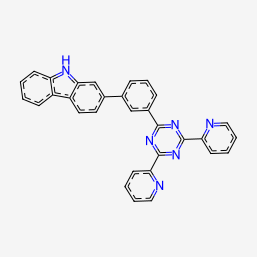 c1ccc(-c2nc(-c3cccc(-c4ccc5c(c4)[nH]c4ccccc45)c3)nc(-c3ccccn3)n2)nc1